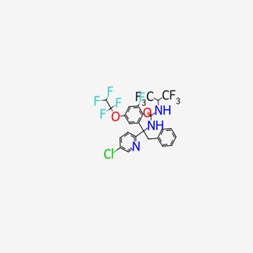 O=C(NC(C(F)(F)F)C(F)(F)F)NC(Cc1ccccc1)(c1cc(F)cc(OC(F)(F)C(F)F)c1)c1ccc(Cl)cn1